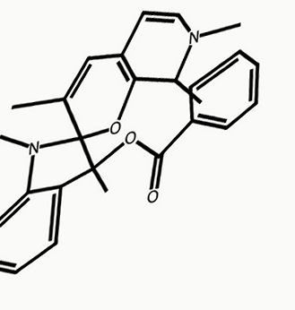 CC1=CC2=C(OC13N(C)c1ccccc1C3(C)OC(=O)c1ccccc1)C(C)N(C)C=C2